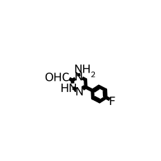 NN1CC(c2ccc(F)cc2)=NNC1C=O